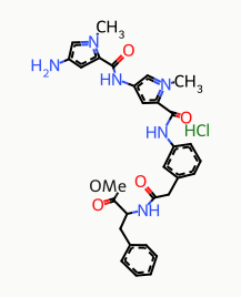 COC(=O)C(Cc1ccccc1)NC(=O)Cc1cccc(NC(=O)c2cc(NC(=O)c3cc(N)cn3C)cn2C)c1.Cl